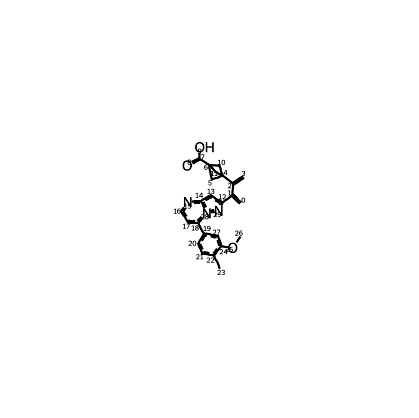 C=C(C(=C)C12CC(C(=O)O)(C1)C2)c1cc2nccc(-c3ccc(C)c(OC)c3)n2n1